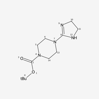 CC(C)(C)OC(=O)N1CCN(C2=NCCN2)CC1